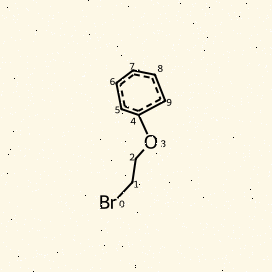 BrCCOc1cc[c]cc1